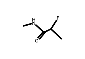 CNC(=O)C(C)F